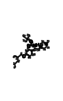 CCC[C@@H](C)COc1ccc(C(CN2CCN(C)CC2)NC(=O)OC(C)(C)C)cc1